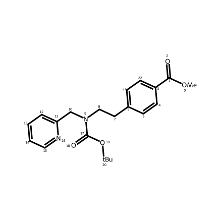 COC(=O)c1ccc(CCN(Cc2ccccn2)C(=O)OC(C)(C)C)cc1